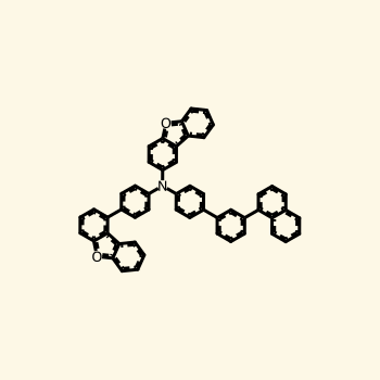 c1cc(-c2ccc(N(c3ccc(-c4cccc5oc6ccccc6c45)cc3)c3ccc4oc5ccccc5c4c3)cc2)cc(-c2cccc3ccccc23)c1